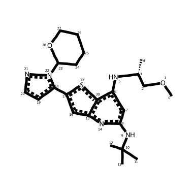 COC[C@@H](C)Nc1cc(NC(C)(C)C)nc2cc(-c3ccnn3C3CCCCO3)sc12